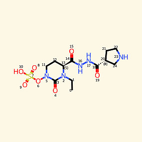 CCN1C(=O)N(OS(=O)(=O)O)CC[C@H]1C(=O)NNC(=O)[C@@H]1CCNC1